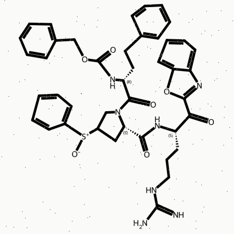 N=C(N)NCCC[C@H](NC(=O)[C@@H]1CC([S+]([O-])c2ccccc2)CN1C(=O)[C@@H](CCc1ccccc1)NC(=O)OCc1ccccc1)C(=O)c1nc2ccccc2o1